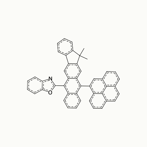 CC1(C)c2ccccc2-c2cc3c(-c4nc5ccccc5o4)c4ccccc4c(-c4cc5cccc6ccc7cccc4c7c65)c3cc21